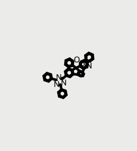 c1ccc(-c2nc(-c3ccccc3)nc(-c3ccc4c(c3)-c3cccc(-c5nc6ccccc6s5)c3C43c4ccccc4Oc4ccccc43)n2)cc1